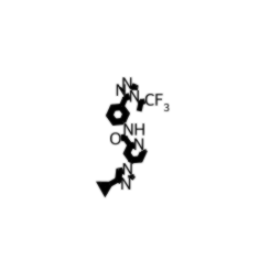 CC(n1cnnc1-c1cccc(NC(=O)c2cc(-n3cnc(C4CC4)c3)ccn2)c1)C(F)(F)F